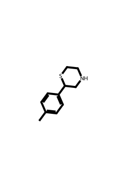 Cc1ccc(C2CNCCS2)cc1